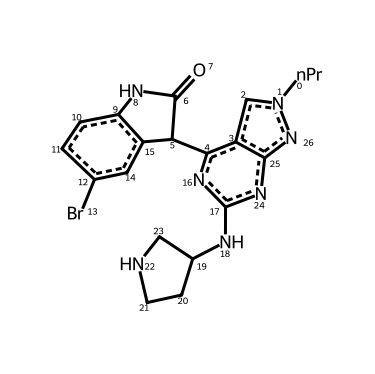 CCCn1cc2c(C3C(=O)Nc4ccc(Br)cc43)nc(NC3CCNC3)nc2n1